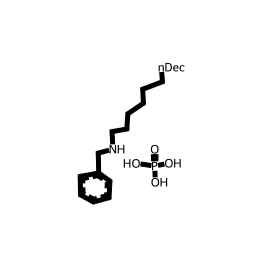 CCCCCCCCCCCCCCCCNCc1ccccc1.O=P(O)(O)O